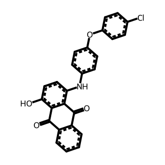 O=C1c2ccccc2C(=O)c2c(Nc3ccc(Oc4ccc(Cl)cc4)cc3)ccc(O)c21